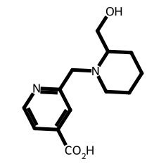 O=C(O)c1ccnc(CN2CCCCC2CO)c1